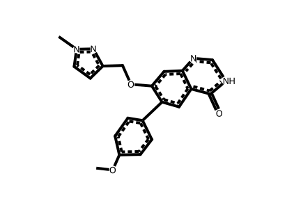 COc1ccc(-c2cc3c(=O)[nH]cnc3cc2OCc2ccn(C)n2)cc1